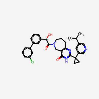 CC(C)c1cncc(C2(c3nc4c(c(=O)[nH]3)CN(C(=O)[C@H](O)c3cccc(-c5cccc(Cl)c5)c3)CCC4)CC2)c1